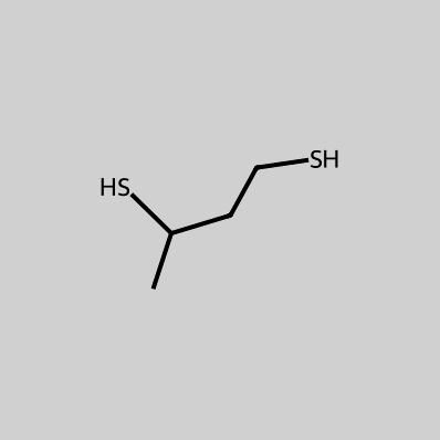 CC(S)CCS